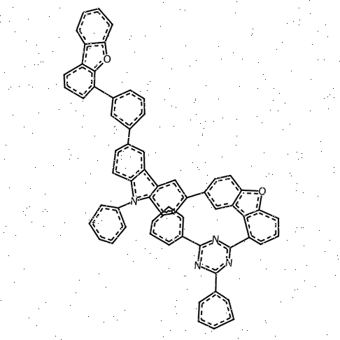 c1ccc(-c2nc(-c3ccccc3)nc(-c3cccc4oc5ccc(-c6ccc7c(c6)c6cc(-c8cccc(-c9cccc%10c9oc9ccccc9%10)c8)ccc6n7-c6ccccc6)cc5c34)n2)cc1